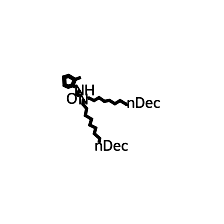 CCCCCCCCCCCCCCCCCCN(CCCCCCCCCCCCCCCCCC)C(=O)Nc1ccccc1C